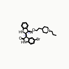 CCCN1CCC(CCO/N=C2/C(=C3/C(=O)Nc4ccc(Br)cc43)Nc3ccccc32)CC1